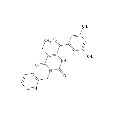 CCc1c(C(=O)c2cc(C)cc(C)c2)[nH]c(=O)n(Cc2ccccn2)c1=O